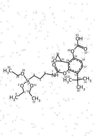 CCO[Si](CCCNC(=O)Oc1c(C(C)(C)C)ccc(OC(=O)O)c1C1CO1)(OCC)OCC